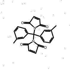 Cc1cccc(C(c2cccc(C)c2)(N2C(=O)C=CC2=O)N2C(=O)C=CC2=O)c1